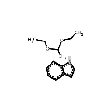 CCOC(C)OCC.c1ccc2[nH]ccc2c1